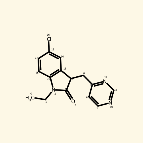 CCN1C(=O)C(Cc2ccncn2)c2cc(Cl)ccc21